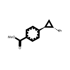 COC(=O)c1ccc([C@H]2C[C@@H]2C(C)C)cc1